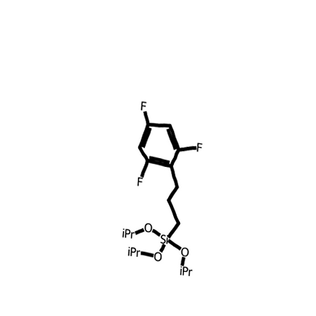 CC(C)O[Si](CCCc1c(F)cc(F)cc1F)(OC(C)C)OC(C)C